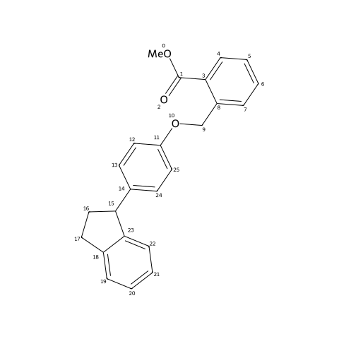 COC(=O)c1ccccc1COc1ccc(C2CCc3ccccc32)cc1